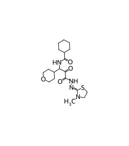 CN1CCSC1=NNC(=O)C(=O)C(NC(=O)C1CCCCC1)C1CCOCC1